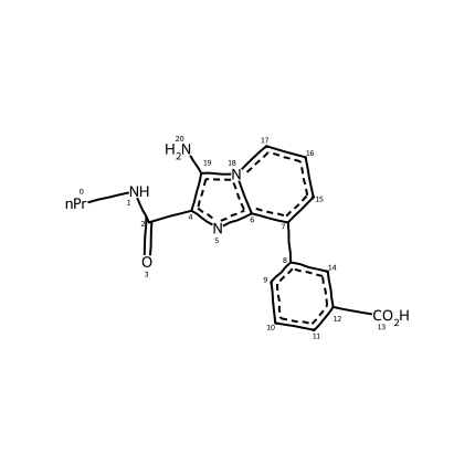 CCCNC(=O)c1nc2c(-c3cccc(C(=O)O)c3)cccn2c1N